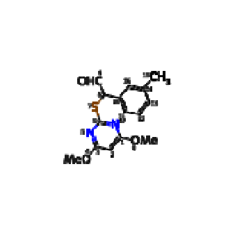 COc1cc(OC)nc(SC(C=O)c2cccc(C)c2)n1